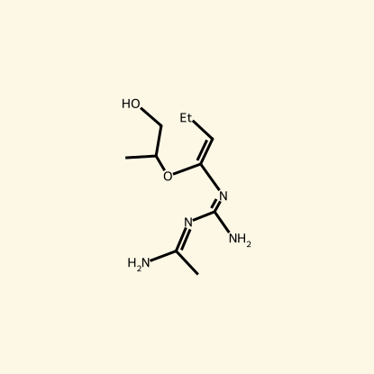 CC/C=C(/N=C(N)\N=C(/C)N)OC(C)CO